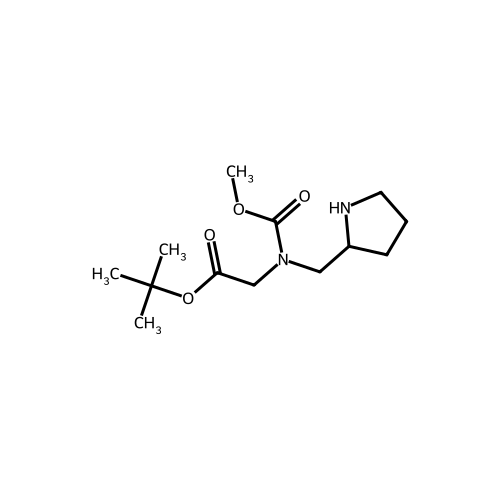 COC(=O)N(CC(=O)OC(C)(C)C)CC1CCCN1